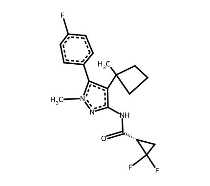 Cn1nc(NC(=O)[C@@H]2CC2(F)F)c(C2(C)CCC2)c1-c1ccc(F)cc1